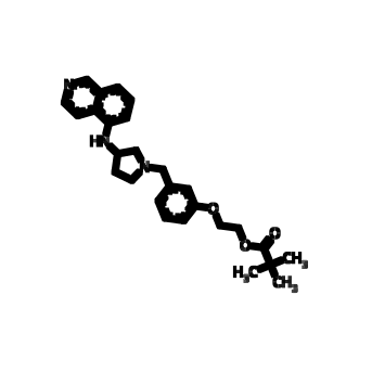 CC(C)(C)C(=O)OCCOc1cccc(CN2CCC(Nc3cccc4cnccc34)C2)c1